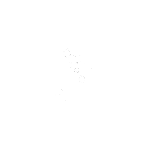 CN(C)C(=O)CCCCOc1cc(-c2nc(C(=O)NCc3ccc(F)cc3F)c([C@H](CC(C)(C)C)OC(N)=O)o2)ccc1OC(F)F